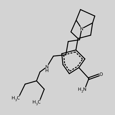 CCC(CC)CNCCCCN1C2CCC1CC(c1cccc(C(N)=O)c1)C2